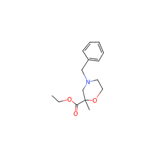 CCOC(=O)C1(C)CN(Cc2ccccc2)CCO1